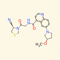 CO[C@@H]1CCN(c2ccc3nccc(C(=O)NCC(=O)N4CSC[C@H]4C#N)c3c2)C1